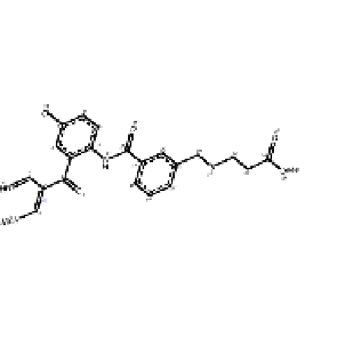 CN/C=C(\C=N)C(=O)c1cc(Cl)ccc1NC(=O)c1cccc(CSCCC(=O)OC)c1